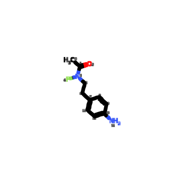 CC(=O)N(F)CCc1ccc(N)cc1